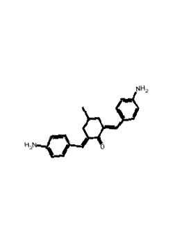 CC1C/C(=C\c2ccc(N)cc2)C(=O)/C(=C/c2ccc(N)cc2)C1